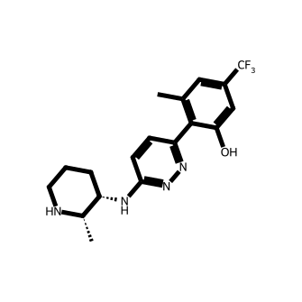 Cc1cc(C(F)(F)F)cc(O)c1-c1ccc(N[C@H]2CCCN[C@H]2C)nn1